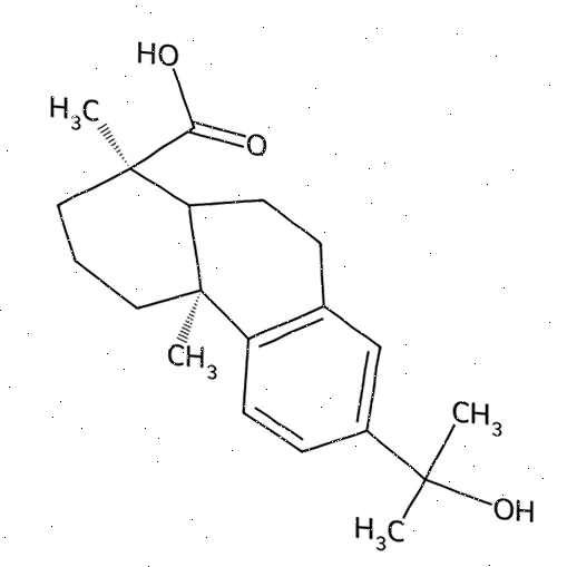 CC(C)(O)c1ccc2c(c1)CCC1[C@](C)(C(=O)O)CCC[C@]21C